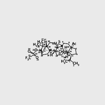 C=C(C)[C@@H]1CC[C@]2(C(C)=O)CC[C@]3(C)[C@H](CC[C@@H]4[C@@]5(C)CC=C(OS(=O)(=O)C(F)(F)F)C(C)(C)[C@@H]5CC[C@]43C)[C@@H]12